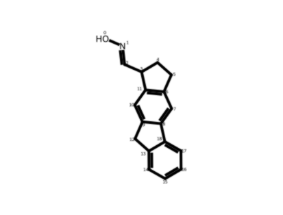 ON=CC1CCc2cc3c(cc21)Cc1ccccc1-3